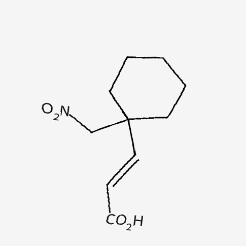 O=C(O)C=CC1(C[N+](=O)[O-])CCCCC1